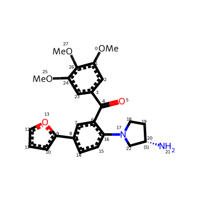 COc1cc(C(=O)c2cc(-c3ccco3)ccc2N2CC[C@H](N)C2)cc(OC)c1OC